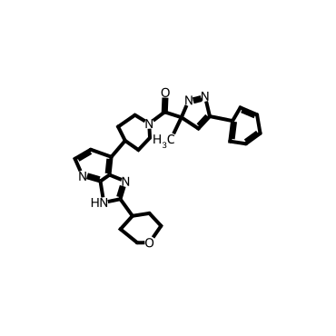 CC1(C(=O)N2CCC(c3ccnc4[nH]c(C5CCOCC5)nc34)CC2)C=C(c2ccccc2)N=N1